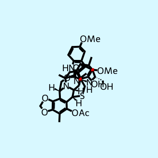 COC1=C(O)C2C(C=C1C)CC1(C)CN(C)C2[C@@H]2[C@@H]3SC[C@]4(N[C@@H](CO)Cc5c4[nH]c4ccc(OC)cc54)C(=O)OC[C@@H](c4c5c(c(C)c(OC(C)=O)c43)OCO5)N21